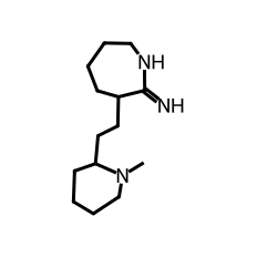 CN1CCCCC1CCC1CCCCNC1=N